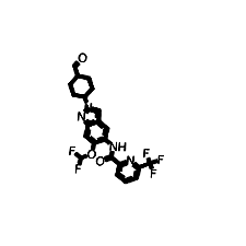 O=CC1CCC(n2cc3cc(NC(=O)c4cccc(C(F)(F)F)n4)c(OC(F)F)cc3n2)CC1